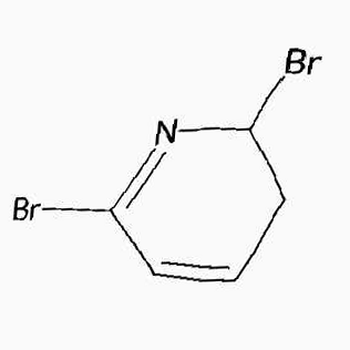 BrC1=NC(Br)CC=C1